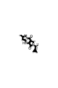 Cc1cc2[nH]c3c(c(=O)n2n1)CN([C@@H](C)C1CC1)C3=O